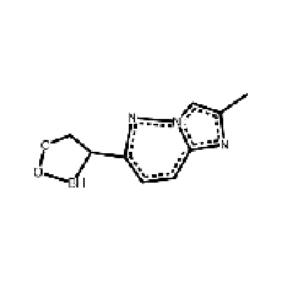 Cc1cn2nc(C3BOOC3)ccc2n1